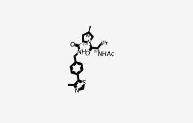 CC(=O)N[C@H](C(=O)N1C[C@H](C)C[C@H]1C(=O)NCc1ccc(-c2scnc2C)cc1)C(C)C